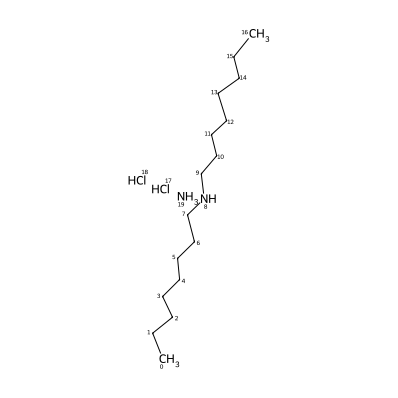 CCCCCCCCNCCCCCCCC.Cl.Cl.N